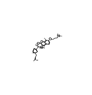 CC(C)=CCc1[c]ccc(C(=O)Nc2cc3ccc(OCCCN(C)C)c(C)c3oc2=O)c1